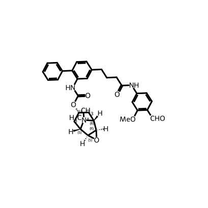 COc1cc(NC(=O)CCCc2ccc(-c3ccccc3)c(NC(=O)O[C@@H]3C[C@@H]4[C@H]5O[C@H]5[C@H](C3)[N+]4(C)C)c2)ccc1C=O